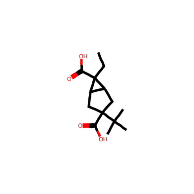 CCC1(C(=O)O)C2CC(C(=O)O)(C(C)(C)C)CC21